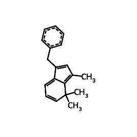 CC1=C2C(=CC=CC2(C)C)C(Cc2ccccc2)=C1